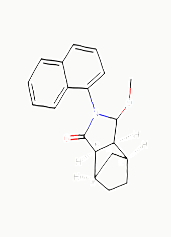 COC1[C@H]2[C@H]3CC[C@H](C3)[C@H]2C(=O)N1c1cccc2ccccc12